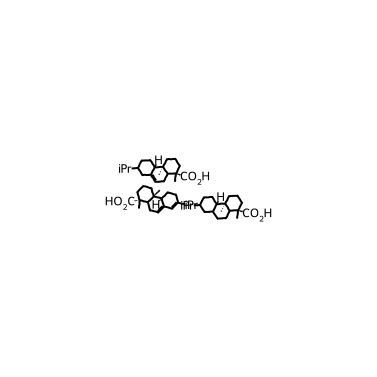 CC(C)C1=CC2=CCC3[C@](C)(C(=O)O)CCC[C@]3(C)[C@H]2CC1.CC(C)C1CC[C@H]2C(=CCC3[C@](C)(C(=O)O)CCC[C@@]32C)C1.CC(C)C1CC[C@H]2C(CCC3[C@](C)(C(=O)O)CCC[C@@]32C)C1